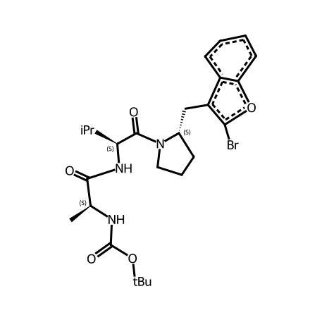 CC(C)[C@H](NC(=O)[C@H](C)NC(=O)OC(C)(C)C)C(=O)N1CCC[C@H]1Cc1c(Br)oc2ccccc12